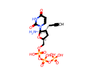 C#CC[C@@H]1C[C@@H](COP(=O)(O)OP(=O)(O)OP(=O)(O)O)O[C@@]1(N)n1ccc(=O)[nH]c1=O